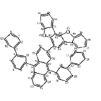 c1ccc(-c2cccc(-c3c4ccccc4c(-c4cccc(-c5ccccc5)c4)c4cc(-c5cc6c7ccccc7oc6c6c5oc5ccccc56)ccc34)c2)cc1